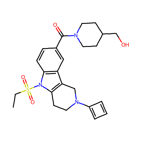 CCS(=O)(=O)n1c2c(c3cc(C(=O)N4CCC(CO)CC4)ccc31)CN(C1=CC=C1)CC2